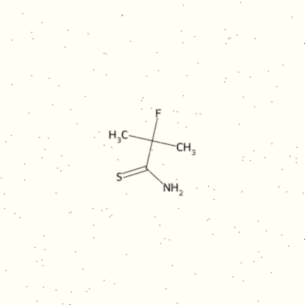 CC(C)(F)C(N)=S